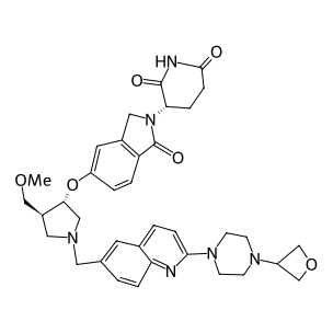 COC[C@@H]1CN(Cc2ccc3nc(N4CCN(C5COC5)CC4)ccc3c2)C[C@H]1Oc1ccc2c(c1)CN([C@H]1CCC(=O)NC1=O)C2=O